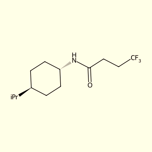 CC(C)[C@H]1CC[C@H](NC(=O)CCC(F)(F)F)CC1